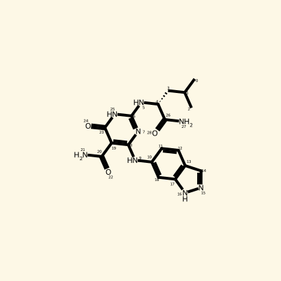 CC(C)C[C@@H](Nc1nc(Nc2ccc3cn[nH]c3c2)c(C(N)=O)c(=O)[nH]1)C(N)=O